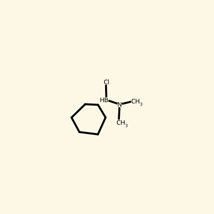 C1CCCCC1.CN(C)BCl